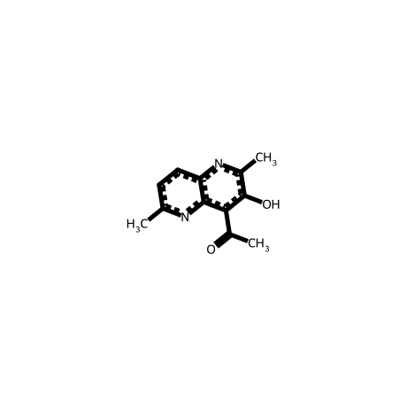 CC(=O)c1c(O)c(C)nc2ccc(C)nc12